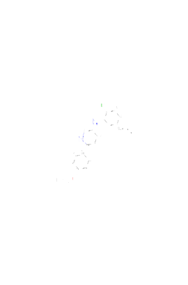 CC(C)(C)Oc1ccc(-c2ccc(Nc3cc(C#N)ccc3Cl)cn2)cc1